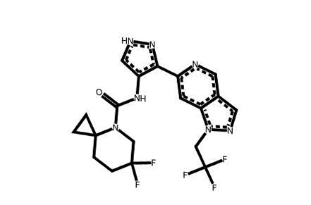 O=C(Nc1c[nH]nc1-c1cc2c(cn1)cnn2CC(F)(F)F)N1CC(F)(F)CCC12CC2